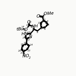 COC(=O)c1cccc(CC(NC(=O)OC(C)(C)C)c2nc(-c3ccc([N+](=O)[O-])cc3)c[nH]2)c1